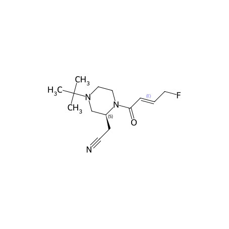 CC(C)(C)N1CCN(C(=O)/C=C/CF)[C@@H](CC#N)C1